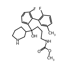 COC(=O)NCCCC(O)(c1cccc(F)c1-c1cc(C)ccc1F)C1CCCNC1